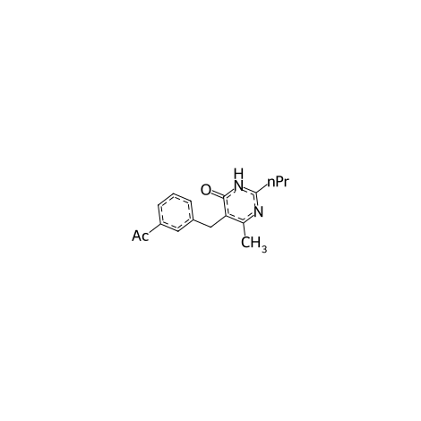 CCCc1nc(C)c(Cc2cccc(C(C)=O)c2)c(=O)[nH]1